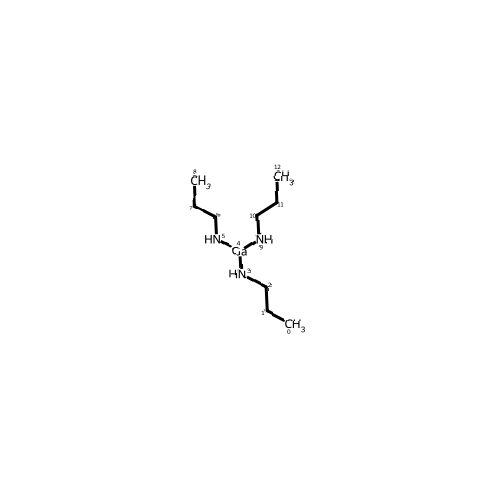 CCC[NH][Ga]([NH]CCC)[NH]CCC